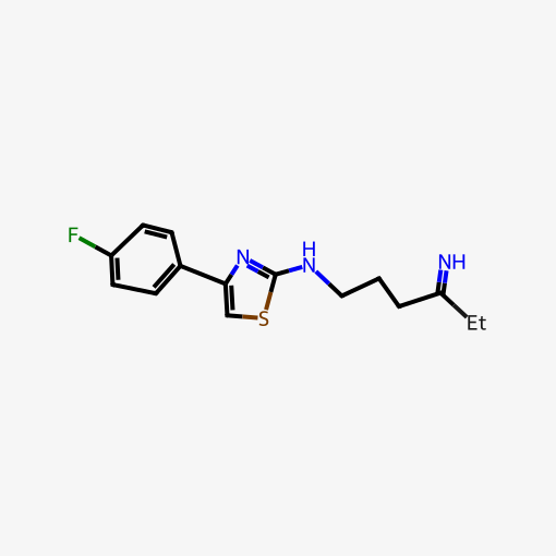 CCC(=N)CCCNc1nc(-c2ccc(F)cc2)cs1